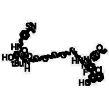 C=CC(=O)N1CCN(c2nc(NCCCN(C)CCOCCOCCOCCOCC(=O)N[C@H](C(=O)N3C[C@@H](O)C[C@H]3C(=O)NCCc3ccc(-c4scnc4C)cc3)C(C)(C)C)nc3c(F)c(-c4cc(O)cc5ccccc45)c(Cl)cc23)CC1